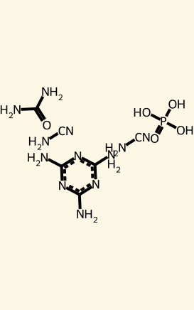 N#CN.N#CN.NC(N)=O.Nc1nc(N)nc(N)n1.O=P(O)(O)O